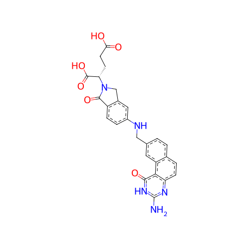 Nc1nc2ccc3ccc(CNc4ccc5c(c4)CN([C@@H](CCC(=O)O)C(=O)O)C5=O)cc3c2c(=O)[nH]1